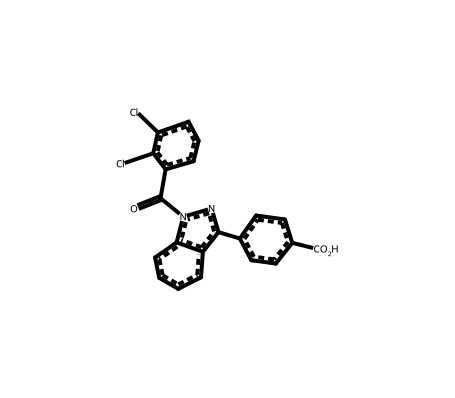 O=C(O)c1ccc(-c2nn(C(=O)c3cccc(Cl)c3Cl)c3ccccc23)cc1